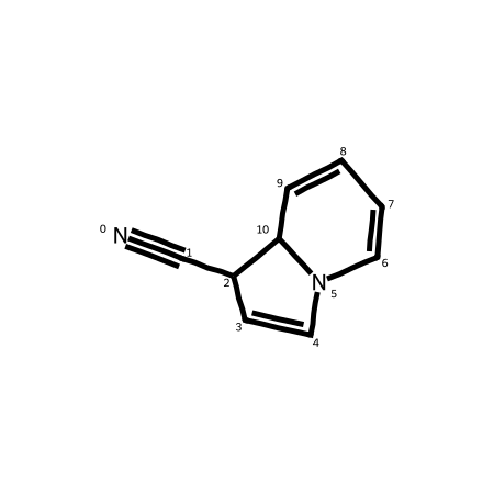 N#CC1C=CN2C=CC=CC12